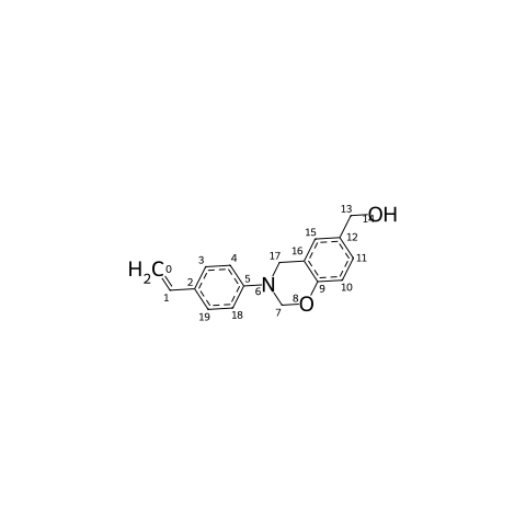 C=Cc1ccc(N2COc3ccc(CO)cc3C2)cc1